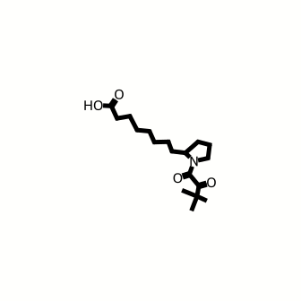 CC(C)(C)C(=O)C(=O)N1CCCC1CCCCCCCC(=O)O